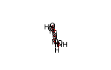 O=C1CCN(c2cncc3c(N4CC(N5CCN(c6ccc(-c7nccc(-c8cc9c([nH]8)C8(CCCC8)CNC9=O)n7)cc6)CC5)C4)cccc23)C(=O)N1